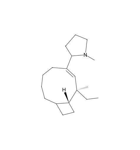 CC[C@]1(C)/C=C(/C2CCCN2C)CCCCC2CC[C@H]21